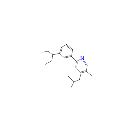 CCC(CC)c1cccc(-c2cc(CC(C)C)c(C)cn2)c1